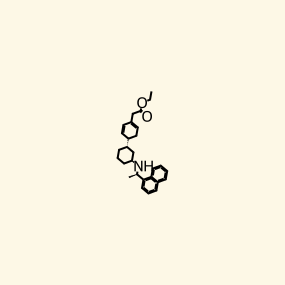 CCOC(=O)CC1=CCC([C@H]2CCC[C@H](N[C@H](C)c3cccc4ccccc34)C2)C=C1